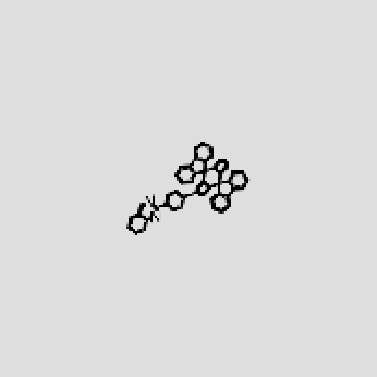 c1ccc2c(c1)-c1ccccc1C21c2ccccc2C2(c3ccccc3-c3ccccc32)c2cc(-c3ccc(-c4ncc5ccccc5n4)cc3)ccc21